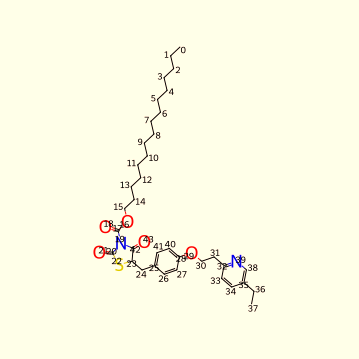 CCCCCCCCCCCCCCCCOC(=O)N1C(=O)SC(Cc2ccc(OCCc3ccc(CC)cn3)cc2)C1=O